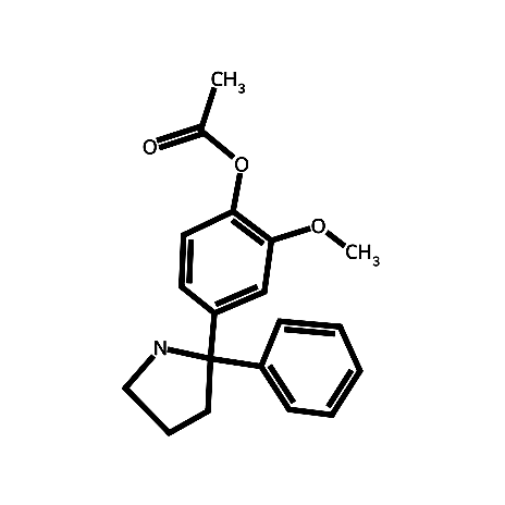 COc1cc(C2(c3ccccc3)CCC[N]2)ccc1OC(C)=O